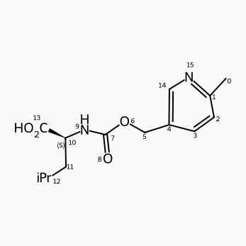 Cc1ccc(COC(=O)N[C@@H](CC(C)C)C(=O)O)cn1